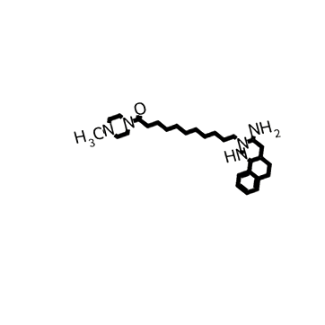 CN1CCN(C(=O)CCCCCCCCCCN2NC3c4ccccc4CCC3CC2N)CC1